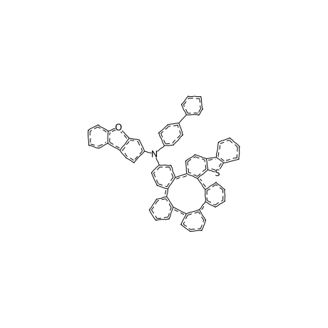 c1ccc(-c2ccc(N(c3ccc4c(c3)oc3ccccc34)c3ccc4c5ccccc5c5ccccc5c5ccccc5c5c(ccc6c7ccccc7sc65)c4c3)cc2)cc1